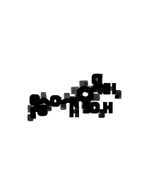 C=CS(=O)(=O)CCOCCNc1ccc(C(N)=O)cc1S(=O)(=O)O